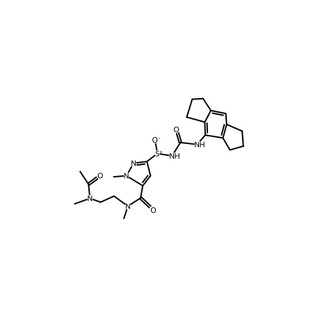 CC(=O)N(C)CCN(C)C(=O)c1cc([S+]([O-])NC(=O)Nc2c3c(cc4c2CCC4)CCC3)nn1C